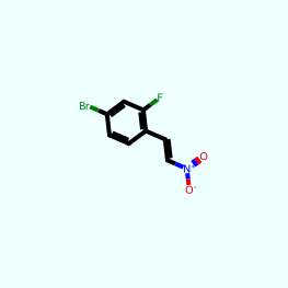 O=[N+]([O-])C=Cc1ccc(Br)cc1F